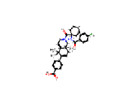 CC1(C)C(c2ccc(C(=O)O)cc2)=CC[C@@]2(C)CN(C(=O)C3(NC(=O)c4ccc(Cl)cc4)CCCCC3)CC=C12